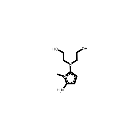 Cn1c(N)ccc1N(CCO)CCO